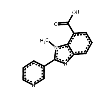 Cn1c(-c2cccnc2)nc2cccc(C(=O)O)c21